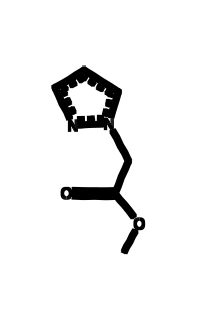 COC(=O)Cn1c[c]cn1